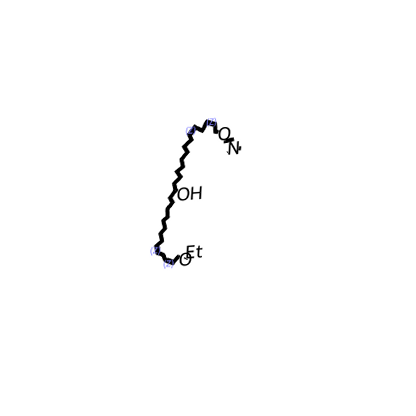 CCOC/C=C\C/C=C\CCCCCCCCC(O)CCCCCCCC/C=C\C/C=C\COCCN(C)C